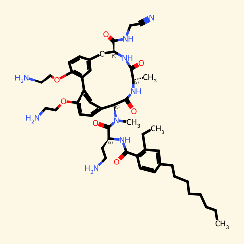 CCCCCCCCc1ccc(C(=O)N[C@@H](CCN)C(=O)N(C)[C@@H]2C(=O)N[C@@H](C)C(=O)N[C@H](C(=O)NCC#N)Cc3ccc(OCCN)c(c3)-c3cc2ccc3OCCN)c(CC)c1